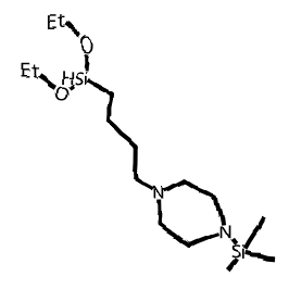 CCO[SiH](CCCCN1CCN([Si](C)(C)C)CC1)OCC